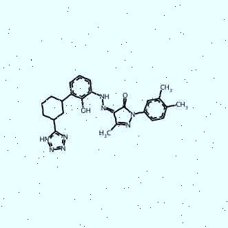 CC1=NN(c2ccc(C)c(C)c2)C(=O)C1=NNc1cccc(C2CCCC(c3nnn[nH]3)C2)c1O